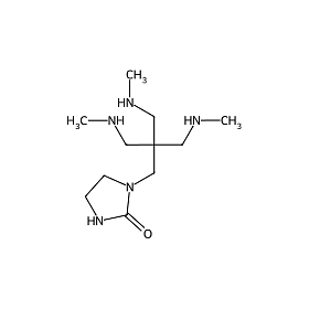 CNCC(CNC)(CNC)CN1CCNC1=O